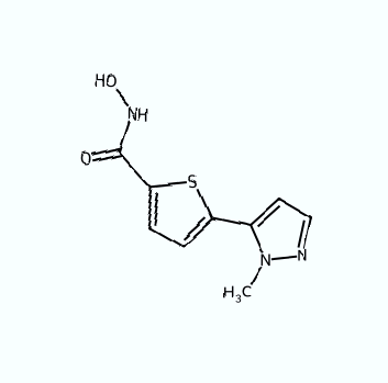 Cn1nccc1-c1ccc(C(=O)NO)s1